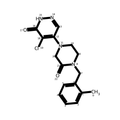 Cc1ccccc1CN1CCN(c2cn[nH]c(=O)c2Cl)CC1=O